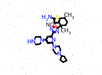 CC1CCC(C)(c2nc(-c3cc(N4CCNCC4)cc(N4CCN(C5CCCC5)CC4)n3)no2)c2c1sc(N)c2C#N